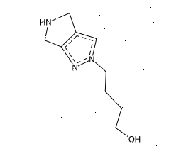 OCCCCn1cc2c(n1)CNC2